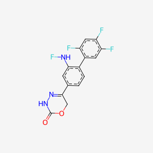 O=C1NN=C(c2ccc(-c3cc(F)c(F)cc3F)c(NF)c2)CO1